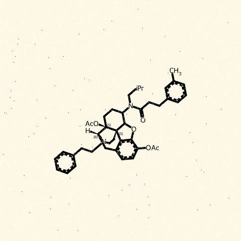 CC(=O)Oc1ccc2c3c1OC1C(N(CC(C)C)C(=O)CCc4cccc(C)c4)CC[C@@]4(OC(C)=O)[C@@H](C2)N(CCc2ccccc2)CC[C@]314